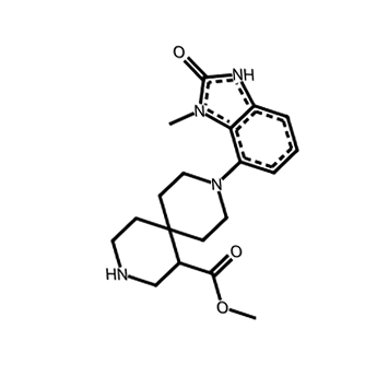 COC(=O)C1CNCCC12CCN(c1cccc3[nH]c(=O)n(C)c13)CC2